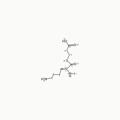 NCCCC[C@H](NI)C(=O)SCCC(=O)O